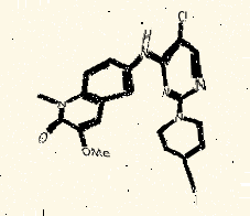 COc1cc2cc(Nc3nc(N4CCC(I)CC4)ncc3Cl)ccc2n(C)c1=O